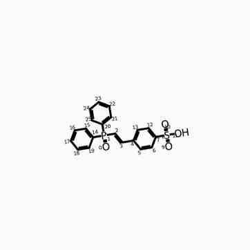 O=P(C=Cc1ccc(S(=O)(=O)O)cc1)(c1ccccc1)c1ccccc1